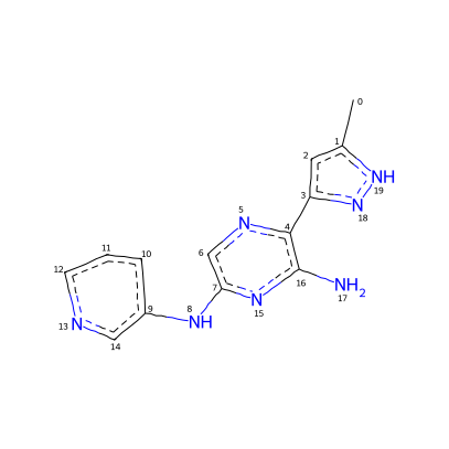 Cc1cc(-c2ncc(Nc3cccnc3)nc2N)n[nH]1